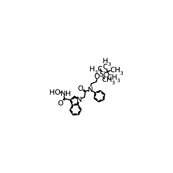 CC(C)(C)[Si](C)(C)OCCN(C(=O)Cn1cc(C(=O)NO)c2ccccc21)c1ccccc1